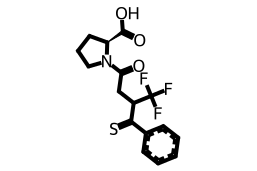 O=C(O)[C@@H]1CCCN1C(=O)CC(C(=S)c1ccccc1)C(F)(F)F